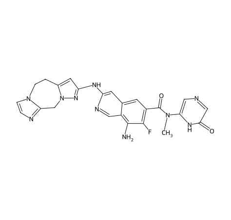 CN(C(=O)c1cc2cc(Nc3cc4n(n3)Cc3nccn3CC4)ncc2c(N)c1F)c1cncc(=O)[nH]1